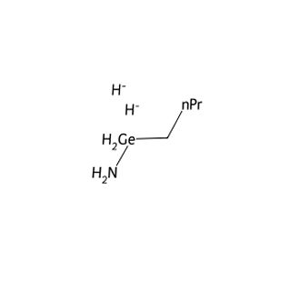 CCC[CH2][GeH2][NH2].[H-].[H-]